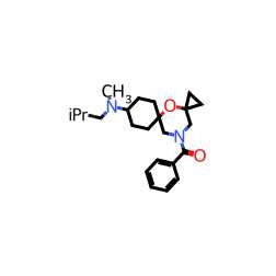 CC(C)CN(C)C1CCC2(CC1)CN(C(=O)c1ccccc1)CC1(CC1)O2